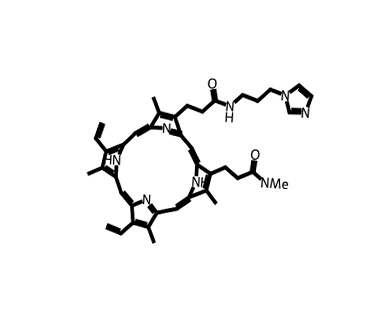 C=CC1=C(C)c2cc3[nH]c(cc4nc(cc5[nH]c(cc1n2)c(C)c5C=C)C(C)=C4CCC(=O)NCCCn1ccnc1)c(CCC(=O)NC)c3C